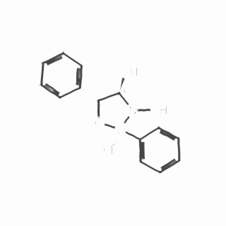 C[C@@H]1[C@@H](c2ccccc2)O[Si@](Cl)(c2ccccc2)N1C